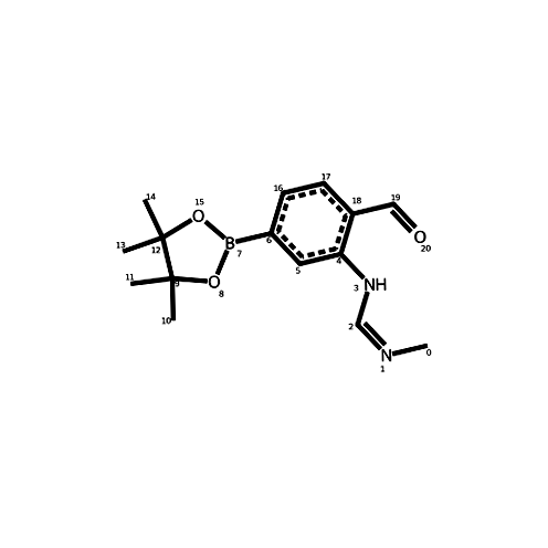 C/N=C\Nc1cc(B2OC(C)(C)C(C)(C)O2)ccc1C=O